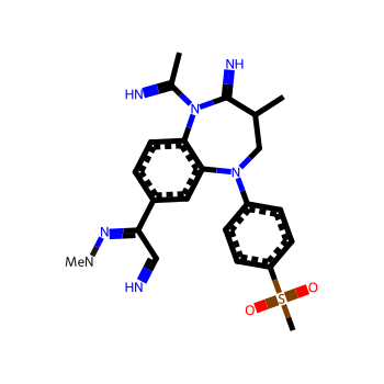 CN/N=C(\C=N)c1ccc2c(c1)N(c1ccc(S(C)(=O)=O)cc1)CC(C)C(=N)N2C(C)=N